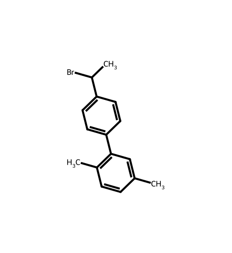 Cc1ccc(C)c(-c2ccc(C(C)Br)cc2)c1